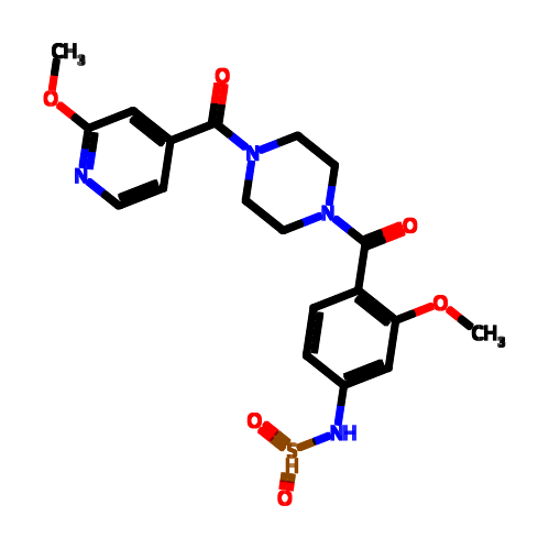 COc1cc(C(=O)N2CCN(C(=O)c3ccc(N[SH](=O)=O)cc3OC)CC2)ccn1